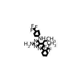 CC(C)Cc1cc(-c2ccccc2C(F)(F)F)nc2nc(N)nc(Nc3ccc(C(F)(F)F)cc3)c12